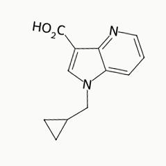 O=C(O)c1cn(CC2CC2)c2cccnc12